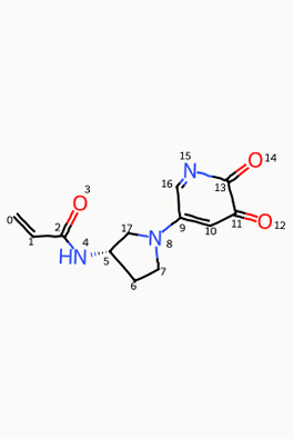 C=CC(=O)N[C@H]1CCN(C2=CC(=O)C(=O)N=C2)C1